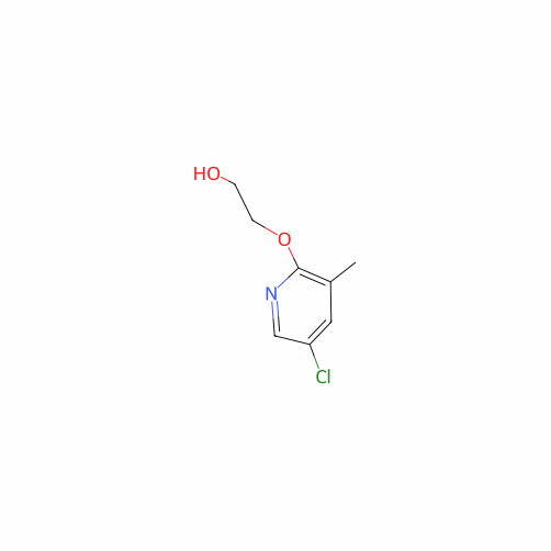 Cc1cc(Cl)cnc1OCCO